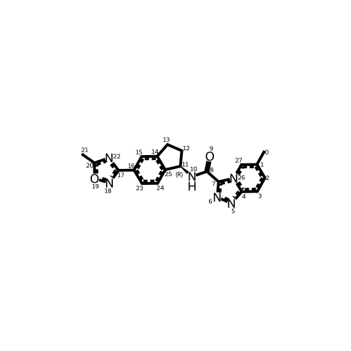 Cc1ccc2nnc(C(=O)N[C@@H]3CCc4cc(-c5noc(C)n5)ccc43)n2c1